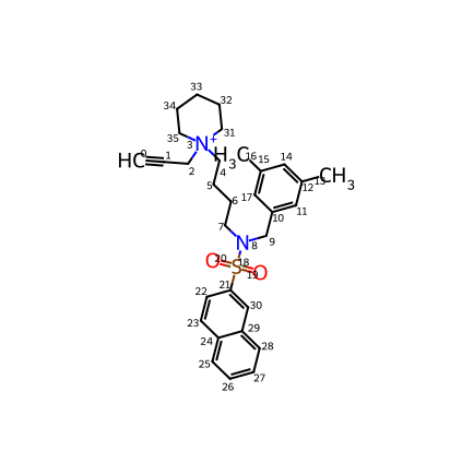 C#CC[N+]1(CCCCN(Cc2cc(C)cc(C)c2)S(=O)(=O)c2ccc3ccccc3c2)CCCCC1